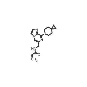 C=CC(=O)NCc1cn2ccnc2c(N2CCC3(CC2)CC3)n1